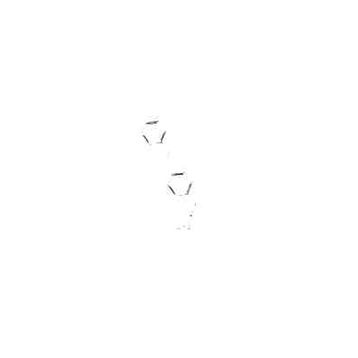 CC(C)(Cc1ccc(OCc2ccccc2)cc1)NC(=O)O